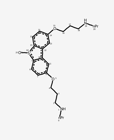 CCCNCCCOc1ccc2c(c1)c1cc(OCCCNCCC)ccc1[s+]2[O-]